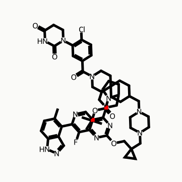 Cc1ccc2[nH]ncc2c1-c1ncc2c(N3CC4CCC(C3)N4C(=O)OC(C)(C)C)nc(OCC3(CN4CCN(CC5CCC6(CC5)CCN(C(=O)c5ccc(Cl)c(N7CCC(=O)NC7=O)c5)CC6)CC4)CC3)nc2c1F